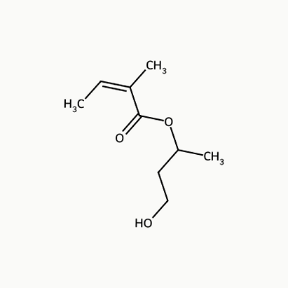 CC=C(C)C(=O)OC(C)CCO